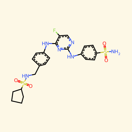 NS(=O)(=O)c1ccc(Nc2ncc(F)c(Nc3ccc(CNS(=O)(=O)C4CCCC4)cc3)n2)cc1